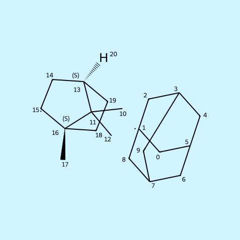 C1[C]2CC3CC1CC(C2)C3.CC1(C)[C@H]2C[CH][C@@]1(C)CC2